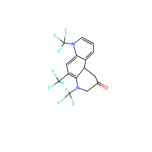 O=C1CC2C3=CC=CN(C(F)(F)F)C3=CC(C(F)(F)F)=C2N(C(F)(F)F)C1